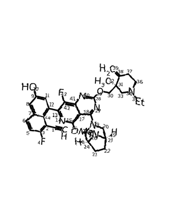 C#Cc1c(F)ccc2cc(O)cc(-c3nc(OC)c4c(N5C[C@H]6CC[C@@H](C5)N6)nc(OC[C@]5(C)CN(CC)CCC5=C)nc4c3F)c12